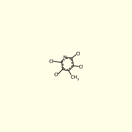 Cc1c(Cl)c(Cl)nc(Cl)c1Cl